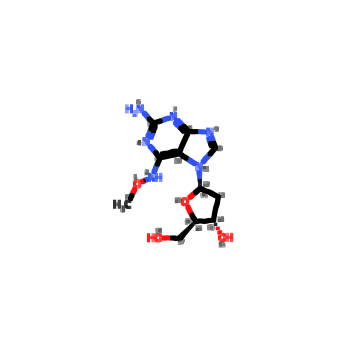 CONc1nc(N)nc2ncn([C@H]3C[C@H](O)[C@@H](CO)O3)c12